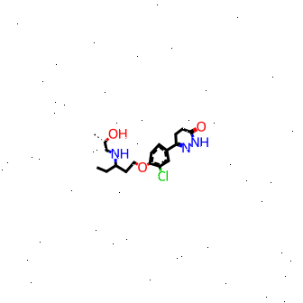 CCC(CCOc1ccc(C2=NNC(=O)CC2)cc1Cl)NC[C@H](C)O